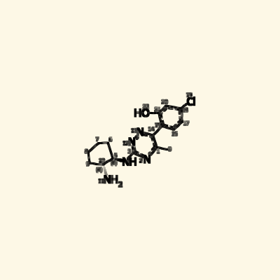 Cc1nc(N[C@@H]2CCCC[C@H]2N)nnc1-c1ccc(Cl)cc1O